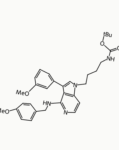 COc1ccc(CNc2nccc3c2c(-c2cccc(OC)c2)cn3CCCCNC(=O)OC(C)(C)C)cc1